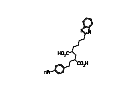 CCCc1ccc(CCC(CC(CCCCc2nc3ccccc3s2)C(=O)O)C(=O)O)cc1